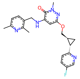 Cc1ccc(CNc2cc(OC[C@H]3C[C@@H]3c3ccc(F)cn3)nn(C)c2=O)c(C)n1